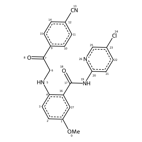 COc1ccc(NCC(=O)c2ccc(C#N)cc2)c(C(=O)Nc2ccc(Cl)cn2)c1